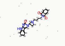 O=C1c2ccccc2C(=O)N1CCCCN1CCC(n2cc3c(nc2=O)[nH]c2ccccc23)C1